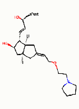 CCCCC[C@H](O)C=C[C@@H]1[C@H]2CC(=CCOCCN3CCCC3)C[C@H]2C[C@H]1O